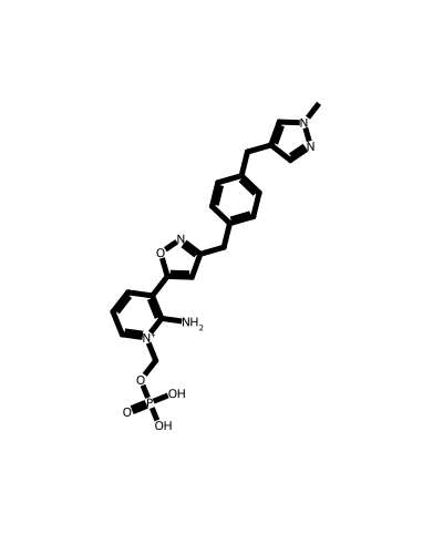 Cn1cc(Cc2ccc(Cc3cc(-c4ccc[n+](COP(=O)(O)O)c4N)on3)cc2)cn1